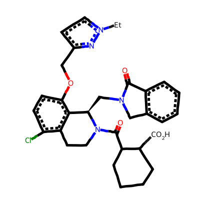 CCn1ccc(COc2ccc(Cl)c3c2[C@@H](CN2Cc4ccccc4C2=O)N(C(=O)C2CCCCC2C(=O)O)CC3)n1